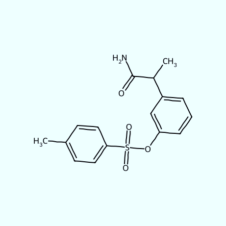 Cc1ccc(S(=O)(=O)Oc2cccc(C(C)C(N)=O)c2)cc1